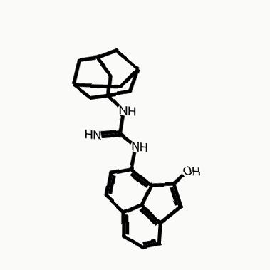 N=C(Nc1ccc2cccc3c2c1C(O)=C3)NC12CC3CC(CC(C3)C1)C2